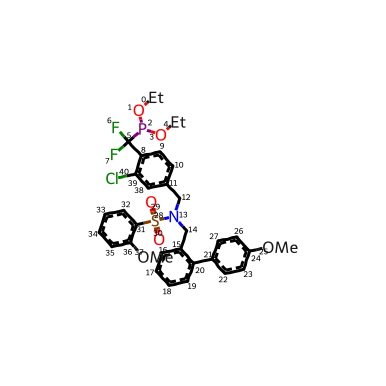 CCOP(OCC)C(F)(F)c1ccc(CN(Cc2ccccc2-c2ccc(OC)cc2)S(=O)(=O)c2ccccc2OC)cc1Cl